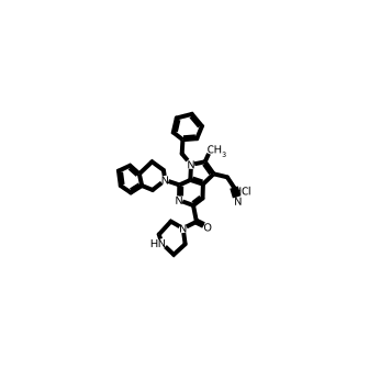 Cc1c(CC#N)c2cc(C(=O)N3CCNCC3)nc(N3CCc4ccccc4C3)c2n1Cc1ccccc1.Cl